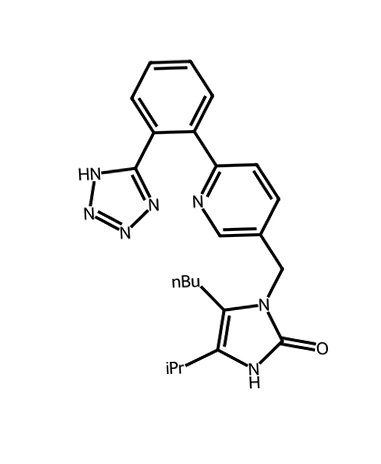 CCCCc1c(C(C)C)[nH]c(=O)n1Cc1ccc(-c2ccccc2-c2nnn[nH]2)nc1